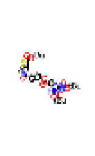 CC(=O)CN(Cc1csc(C(=O)OC(C)(C)C)c1)C(=O)c1ccc2cc(OC(=O)c3ccc(N/C(=N\C(=O)OC(C)(C)C)NC(=O)OC(C)(C)C)cc3)ccc2c1